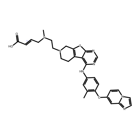 Cc1cc(Nc2ncnc3sc4c(c23)CCN(CCN(C)C/C=C/C(=O)O)C4)ccc1Oc1ccn2ccnc2c1